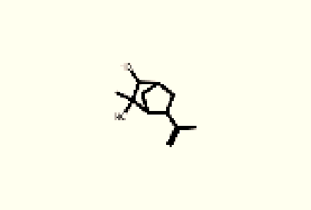 C=C(C)C1CC2CC1C(C)(C#N)C2O